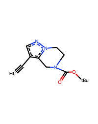 C#Cc1cnn2c1CN(C(=O)OC(C)(C)C)CC2